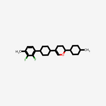 Cc1ccc(C2CCC(C3=COC(C4CCC(C)CC4)CC3)CC2)c(F)c1F